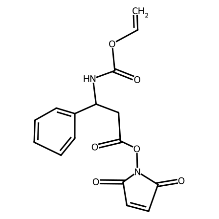 C=COC(=O)NC(CC(=O)ON1C(=O)C=CC1=O)c1ccccc1